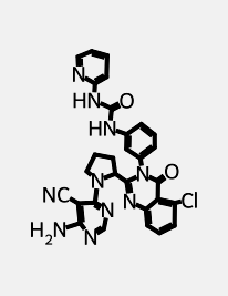 N#Cc1c(N)ncnc1N1CCCC1c1nc2cccc(Cl)c2c(=O)n1-c1cccc(NC(=O)Nc2ccccn2)c1